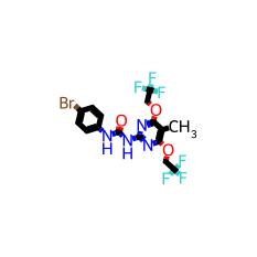 Cc1c(OCC(F)(F)F)nc(NC(=O)Nc2ccc(Br)cc2)nc1OCC(F)(F)F